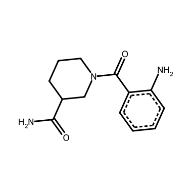 NC(=O)C1CCCN(C(=O)c2ccccc2N)C1